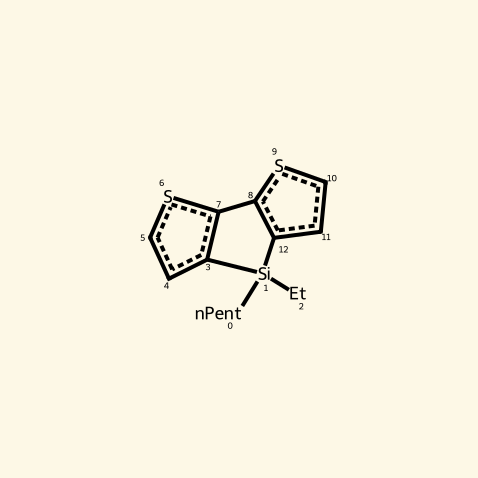 CCCCC[Si]1(CC)c2ccsc2-c2sccc21